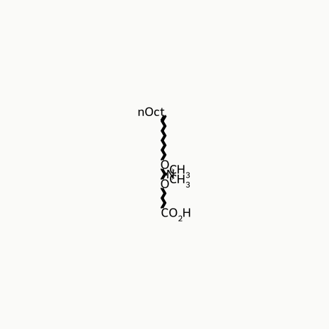 CCCCCCCCC=CCCCCCCCCOCC(COCCCCCC(=O)O)N(C)C